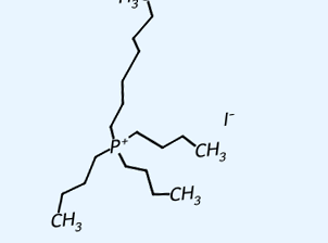 CCCCCCC[P+](CCCC)(CCCC)CCCC.[I-]